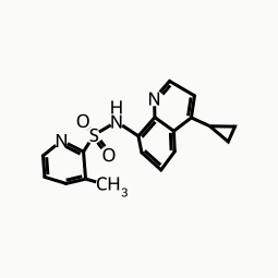 Cc1cccnc1S(=O)(=O)Nc1cccc2c(C3CC3)ccnc12